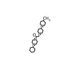 CC1CCN(C2CCN(CC(=O)N3CCN(C4CCCCC4)CC3)CC2)CC1